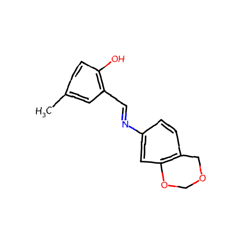 Cc1ccc(O)c(/C=N/c2ccc3c(c2)OCOC3)c1